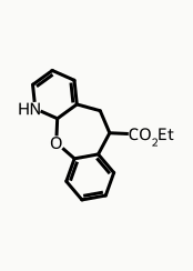 CCOC(=O)C1CC2=CC=CNC2Oc2ccccc21